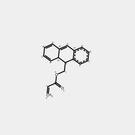 C=CC(=O)OCC1c2ccccc2C=C2C=CC=CC21